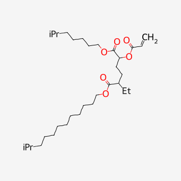 C=CC(=O)OC(CCC(CC)C(=O)OCCCCCCCCCCC(C)C)C(=O)OCCCCCC(C)C